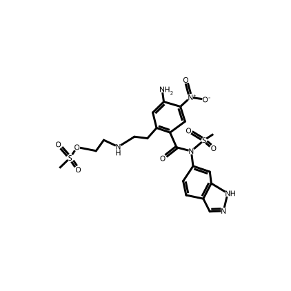 CS(=O)(=O)OCCNCCc1cc(N)c([N+](=O)[O-])cc1C(=O)N(c1ccc2cn[nH]c2c1)S(C)(=O)=O